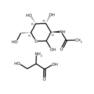 CC(=O)N[C@H]1C(O)O[C@H](CO)[C@H](O)[C@@H]1O.NC(CO)C(=O)O